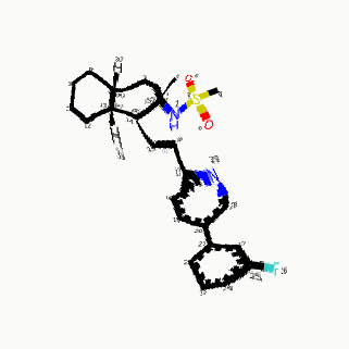 C[C@]1(NS(C)(=O)=O)C[C@H]2CCCC[C@H]2[C@@H]1/C=C/c1ccc(-c2cccc(F)c2)cn1